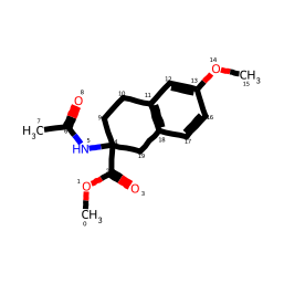 COC(=O)C1(NC(C)=O)CCc2cc(OC)ccc2C1